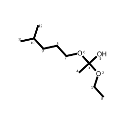 CCOC(C)(O)OCCCC(C)C